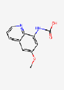 COc1cc(NC(=O)O)c2ncccc2c1